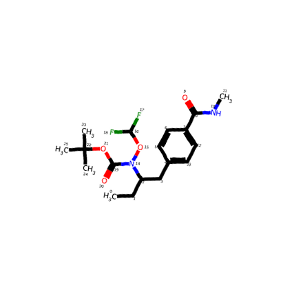 CCC(Cc1ccc(C(=O)NC)cc1)N(OC(F)F)C(=O)OC(C)(C)C